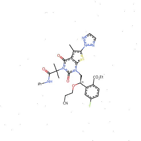 CCOC(=O)c1ccc(F)cc1[C@H](Cn1c(=O)n(C(C)(C)C(=O)NC(C)C)c(=O)c2c(C)c(-n3nccn3)sc21)OCCC#N